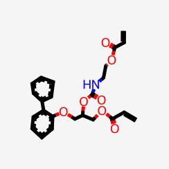 C=CC(=O)OCCNC(=O)OC(COC(=O)C=C)COc1ccccc1-c1ccccc1